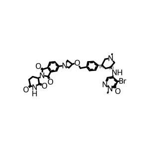 CN1C[C@H](Nc2cnn(C)c(=O)c2Br)C[C@H](c2ccc(COC3CN(c4ccc5c(c4)C(=O)N(C4CCC(=O)NC4=O)C5=O)C3)cc2)C1